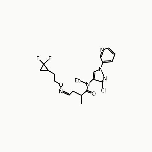 CCN(C(=O)C(C)C/C=N\OCCC1CC1(F)F)c1cn(-c2cccnc2)nc1Cl